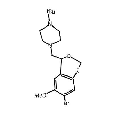 COc1cc2c(cc1Br)CCOC2CN1CCN(C(C)(C)C)CC1